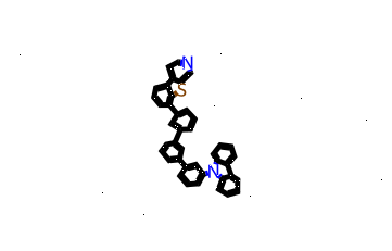 c1cc(-c2cccc(-c3cccc4c3sc3cnccc34)c2)cc(-c2cccc(-n3c4ccccc4c4ccccc43)c2)c1